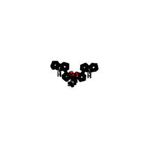 CC1=Cc2c(-c3cccc4c3[nH]c3ccccc34)cccc2[CH]1[Zr]([CH3])([CH3])([CH]1C(C)=Cc2c(-c3cccc4c3[nH]c3ccccc34)cccc21)=[Si](C)C